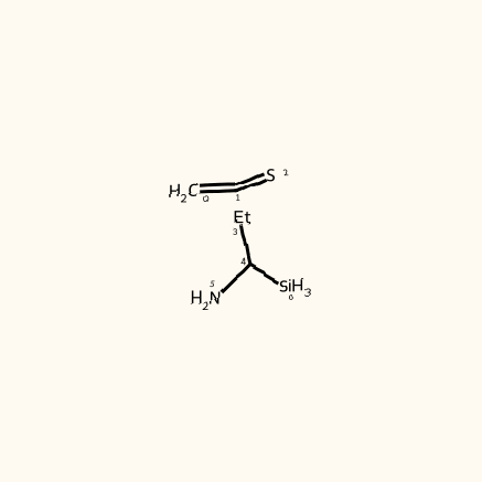 C=C=S.CCC(N)[SiH3]